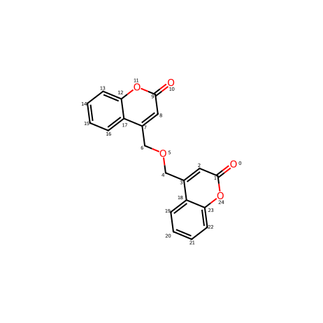 O=c1cc(COCc2cc(=O)oc3ccccc23)c2ccccc2o1